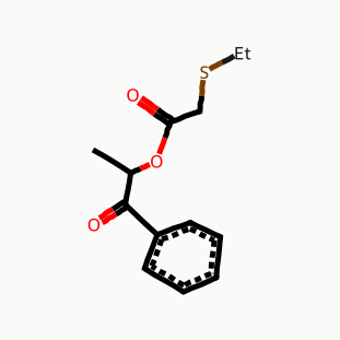 CCSCC(=O)OC(C)C(=O)c1ccccc1